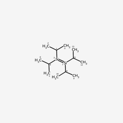 CC(C)[Si](C(C)C)=[Si](C(C)C)C(C)C